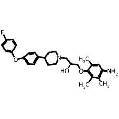 Cc1cc(N)c(C)c(C)c1OC[C@@H](O)CN1CCC(c2ccc(Oc3ccc(F)cc3)cc2)CC1